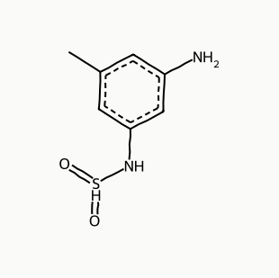 Cc1cc(N)cc(N[SH](=O)=O)c1